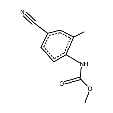 COC(=O)Nc1ccc(C#N)cc1C